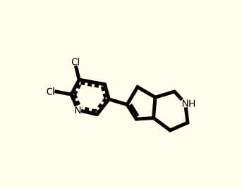 Clc1cc(C2=CC3CCNCC3C2)cnc1Cl